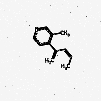 C=C(/C=C\C)c1ccncc1C